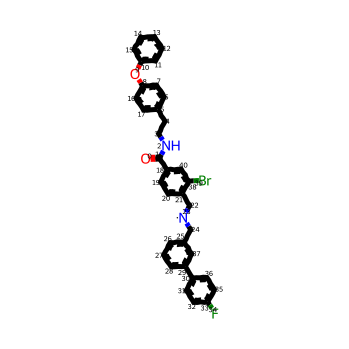 O=C(NCCc1ccc(Oc2ccccc2)cc1)c1ccc(C[N]Cc2cccc(-c3ccc(F)cc3)c2)c(Br)c1